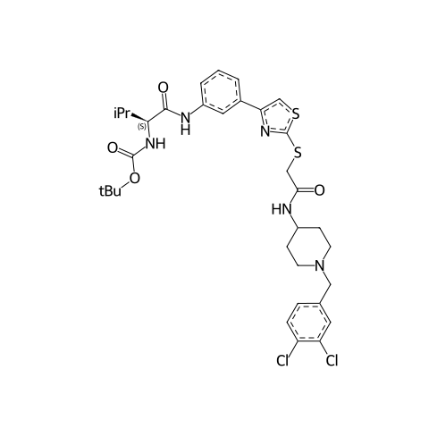 CC(C)[C@H](NC(=O)OC(C)(C)C)C(=O)Nc1cccc(-c2csc(SCC(=O)NC3CCN(Cc4ccc(Cl)c(Cl)c4)CC3)n2)c1